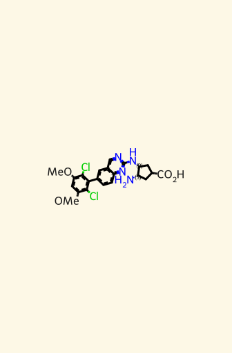 COc1cc(OC)c(Cl)c(-c2ccc3nc(N[C@@H]4CC(C(=O)O)C[C@@H]4N)ncc3c2)c1Cl